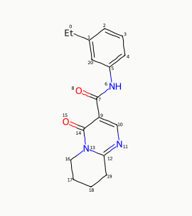 CCc1cccc(NC(=O)c2cnc3n(c2=O)CCCC3)c1